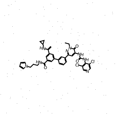 C=C(NC1CC1)c1cc(C(=O)NCCCn2cccc2)cc(-c2cccc(-c3cc(NC(=O)Nc4c(Cl)cncc4Cl)c(=O)n(CC)n3)c2)c1